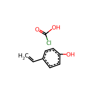 C=Cc1ccc(O)cc1.O=C(O)Cl